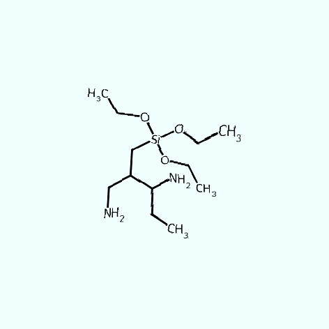 CCO[Si](CC(CN)C(N)CC)(OCC)OCC